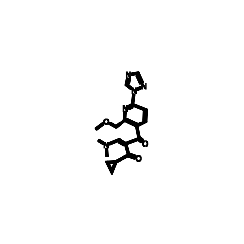 COCc1nc(-n2cncn2)ccc1C(=O)C(=CN(C)C)C(=O)C1CC1